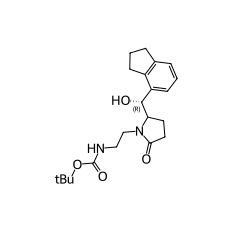 CC(C)(C)OC(=O)NCCN1C(=O)CCC1[C@H](O)c1cccc2c1CCC2